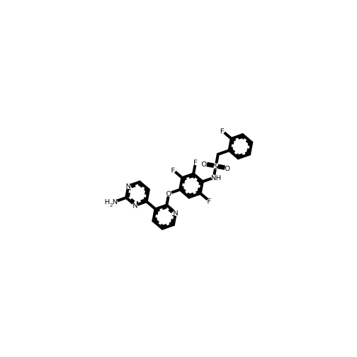 Nc1nccc(-c2cccnc2Oc2cc(F)c(NS(=O)(=O)Cc3ccccc3F)c(F)c2F)n1